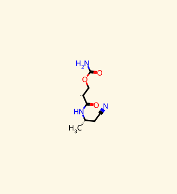 C[C@@H](CC#N)NC(=O)[CH]COC(N)=O